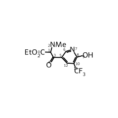 CCOC(=O)C(NC)C(=O)c1cnc(O)c(C(F)(F)F)c1